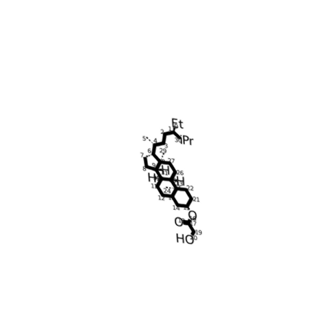 CC[C@H](CC[C@@H](C)[C@H]1CC[C@H]2[C@@H]3CCC4C[C@@H](OC(=O)CO)CC[C@]4(C)[C@H]3CC[C@]12C)C(C)C